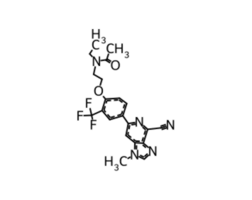 CCN(CCOc1ccc(-c2cc3c(ncn3C)c(C#N)n2)cc1C(F)(F)F)C(C)=O